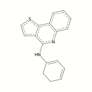 C1=CCCC(Nc2nc3ccccc3c3sccc23)=C1